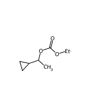 C[CH]OC(=O)OC(C)C1CC1